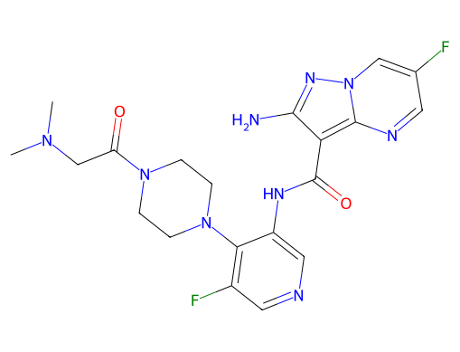 CN(C)CC(=O)N1CCN(c2c(F)cncc2NC(=O)c2c(N)nn3cc(F)cnc23)CC1